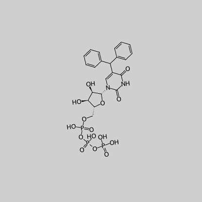 O=c1[nH]c(=O)n([C@@H]2O[C@H](COP(=O)(O)OP(=O)(O)OP(=O)(O)O)[C@@H](O)[C@H]2O)cc1C(c1ccccc1)c1ccccc1